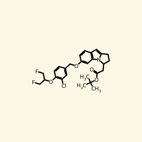 CC(C)(C)OC(=O)CC1CCc2cc3ccc(OCc4ccc(OC(CF)CF)c(Cl)c4)cc3n21